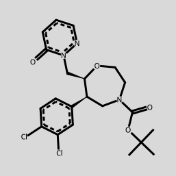 CC(C)(C)OC(=O)N1CCO[C@H](Cn2ncccc2=O)[C@H](c2ccc(Cl)c(Cl)c2)C1